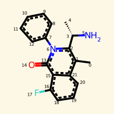 Cc1c([C@H](C)N)n(-c2ccccc2)c(=O)c2c(F)cccc12